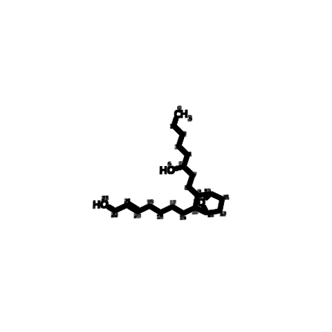 CCCCCC(O)CCC1C2CCC(O2)C1CCCCC=CCO